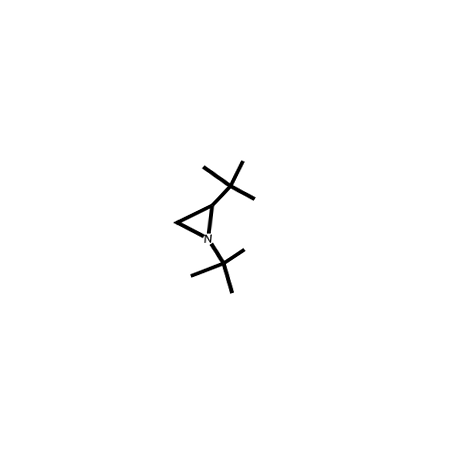 CC(C)(C)C1CN1C(C)(C)C